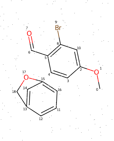 COc1ccc(C=O)c(Br)c1.c1cc2cc(c1)OC2